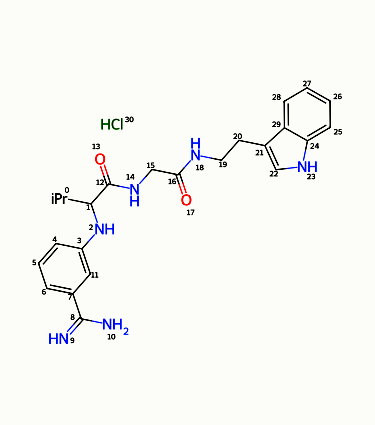 CC(C)C(Nc1cccc(C(=N)N)c1)C(=O)NCC(=O)NCCc1c[nH]c2ccccc12.Cl